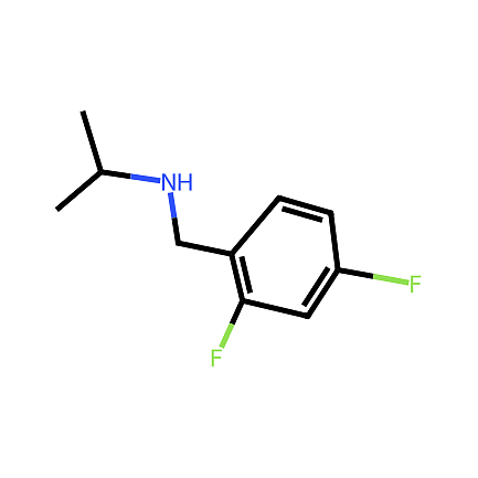 CC(C)NCc1ccc(F)cc1F